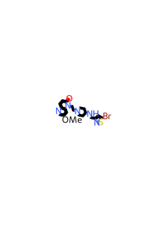 COc1cnc2ccc(=O)n(CCN3CCC(NCc4cc(Br)sn4)CC3)c2c1